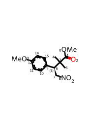 COC(=O)C(C)(C)[C@@H](C[N+](=O)[O-])c1ccc(OC)cc1